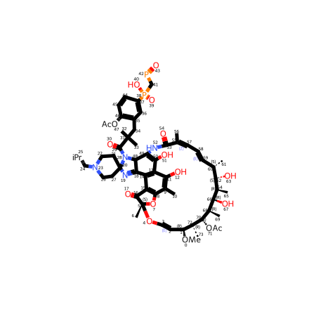 CO[C@H]1/C=C/O[C@@]2(C)Oc3c(C)c(O)c4c(c3C2=O)C2=NC3(CCN(CC(C)C)CC3)N(C(=O)C(C)(C)Cc3cc(P(=O)(O)CP=O)ccc3OC(C)=O)C2C(=C4O)NC(=O)/C(C)=C\C=C\[C@H](C)[C@H](O)[C@@H](C)[C@@H](O)[C@@H](C)[C@H](OC(C)=O)[C@@H]1C